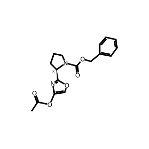 CC(=O)Oc1coc([C@H]2CCCN2C(=O)OCc2ccccc2)n1